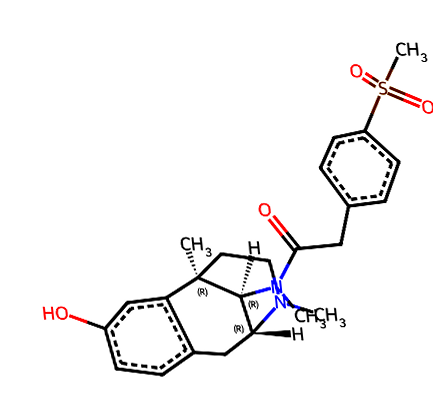 CN1CC[C@]2(C)c3cc(O)ccc3C[C@@H]1[C@@H]2N(C)C(=O)Cc1ccc(S(C)(=O)=O)cc1